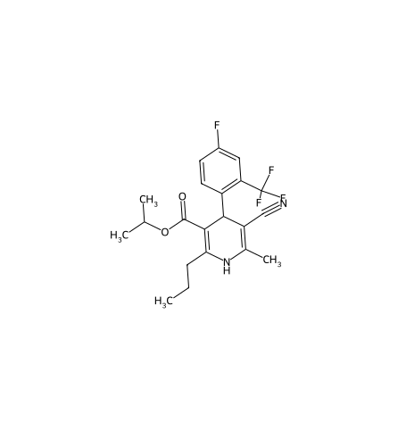 CCCC1=C(C(=O)OC(C)C)C(c2ccc(F)cc2C(F)(F)F)C(C#N)=C(C)N1